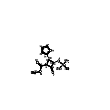 CC[Si](CC)(CC)O[C@@H]1C(=O)N(C(=O)OC(C)(C)C)[C@@H]1c1ccco1